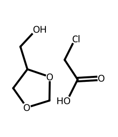 O=C(O)CCl.OCC1COCO1